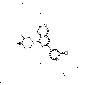 CC1CN(c2nc(-c3ccnc(Cl)c3)cc3cnccc23)CCN1